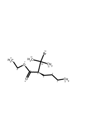 CCCC[C@@H](C(=O)OCC)C(C)(C)Br